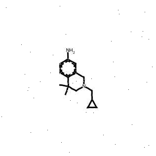 CC1(C)CN(CC2CC2)Cc2cc(N)ccc21